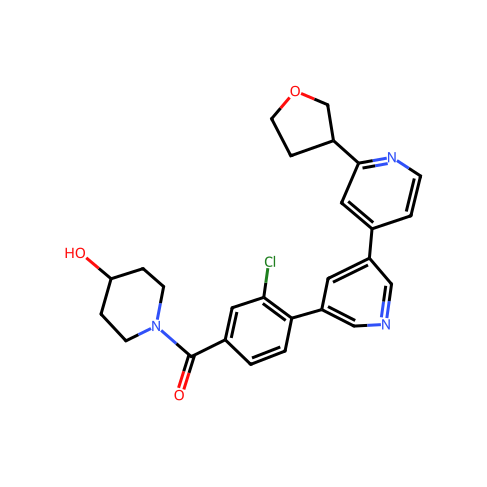 O=C(c1ccc(-c2cncc(-c3ccnc(C4CCOC4)c3)c2)c(Cl)c1)N1CCC(O)CC1